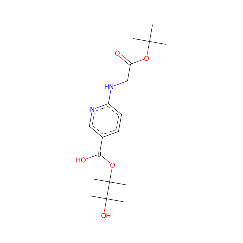 CC(C)(C)OC(=O)CNc1ccc(B(O)OC(C)(C)C(C)(C)O)cn1